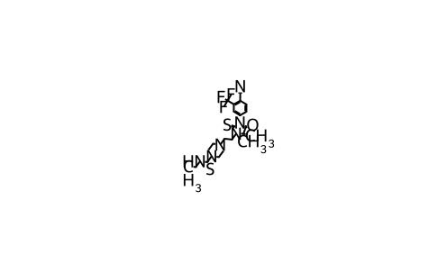 CCNC(=S)N1CCN(CCN2C(=S)N(c3ccc(C#N)c(C(F)(F)F)c3)C(=O)C2(C)C)CC1